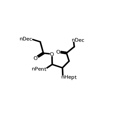 CCCCCCCCCCCC(=O)CC(CCCCCCC)C(CCCCC)OC(=O)CCCCCCCCCCC